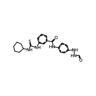 O=CNNc1ccc(NC(=O)c2cccc(NC(=S)NC3CCCCC3)c2)cc1